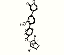 CN1[C@H]2CC[C@]1(C)[C@H](F)[C@@H](Oc1ccc(-c3ccc(-c4cc[nH]c(=O)c4)cc3O)nn1)C2